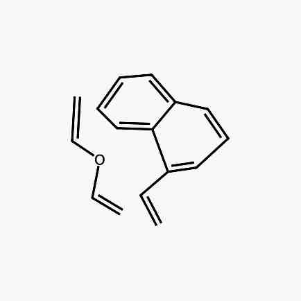 C=COC=C.C=Cc1cccc2ccccc12